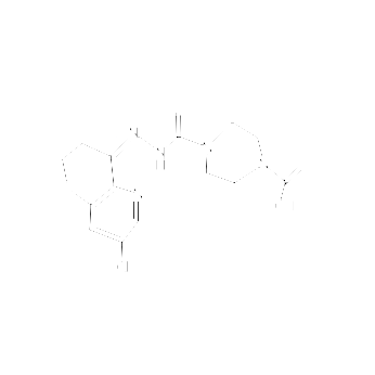 CC(=O)N1CCN(C(=S)N/N=C2/CCOc3cc(Cl)cnc32)CC1